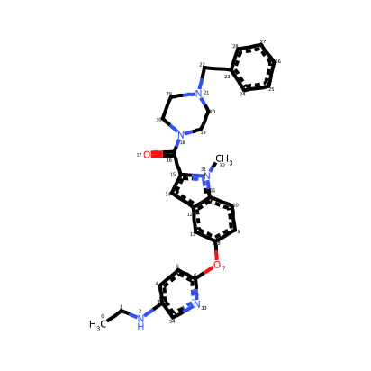 CCNc1ccc(Oc2ccc3c(c2)cc(C(=O)N2CCN(Cc4ccccc4)CC2)n3C)nc1